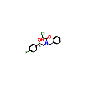 O=C(CCl)N(Cc1ccccc1)C[C@@H](O)c1ccc(F)cc1